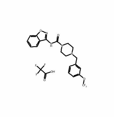 O=C(Nc1noc2ccccc12)N1CCN(Cc2cccc(OC(F)(F)F)c2)CC1.O=C(O)C(F)(F)F